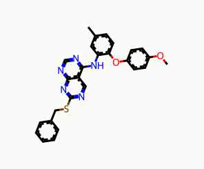 COc1ccc(Oc2ccc(C)cc2Nc2ncnc3nc(SCc4ccccc4)ncc23)cc1